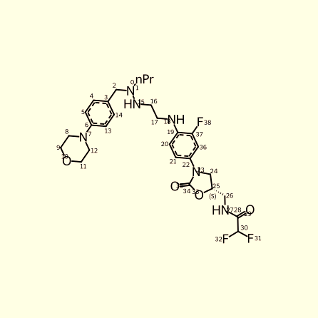 CCCN(Cc1ccc(N2CCOCC2)cc1)NCCNc1ccc(N2C[C@H](CNC(=O)C(F)F)OC2=O)cc1F